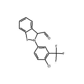 O=CC1c2ccccc2SN1c1ccc(Cl)c(C(F)(F)F)c1